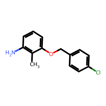 Cc1c(N)cccc1OCc1ccc(Cl)cc1